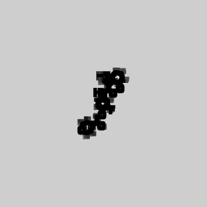 O=C(Nc1ccc(OCC(=O)N2CCOCC2)c(F)c1)c1c[nH]c2c1C(=O)CCC2